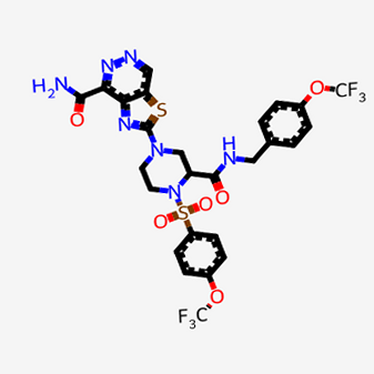 NC(=O)c1nncc2sc(N3CCN(S(=O)(=O)c4ccc(OC(F)(F)F)cc4)C(C(=O)NCc4ccc(OC(F)(F)F)cc4)C3)nc12